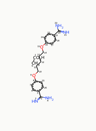 CC(=O)O.N=C(N)c1ccc(OCCCCCOc2ccc(C(=N)N)cc2)cc1